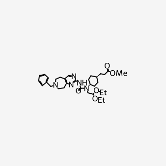 CCOC(CN(C(=O)Nc1ncc2c(n1)CCN(Cc1ccccc1)CC2)[C@H]1CC[C@H](CCC(=O)OC)CC1)OCC